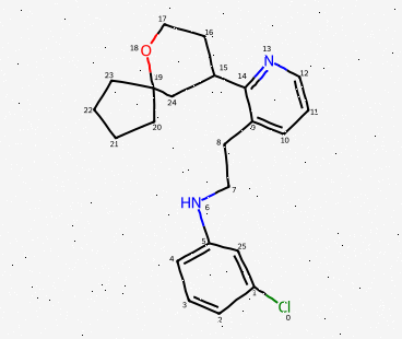 Clc1cccc(NCCc2cccnc2C2CCOC3(CCCC3)C2)c1